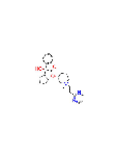 C[N+]1(CCc2ncccn2)CCC[C@@H](OC(=O)C(O)(c2ccccc2)C2CCCC2)C1